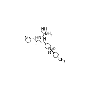 B/C(C=N)=C1\N=C(C2CCN(S(=O)(=O)c3ccc(C(F)(F)F)cc3)CC2)C=C(NCC2=CN=CCC2)N1